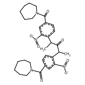 CC(C(=O)C(C)c1ccc(C(=O)N2CCCCCC2)cc1[N+](=O)[O-])c1ccc(C(=O)N2CCCCCC2)cc1[N+](=O)[O-]